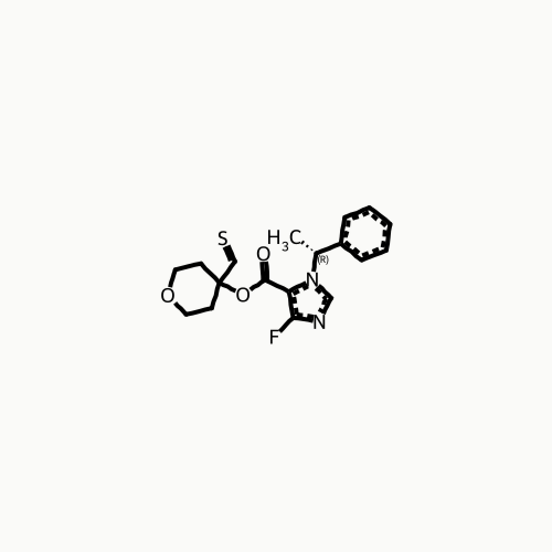 C[C@H](c1ccccc1)n1cnc(F)c1C(=O)OC1(C=S)CCOCC1